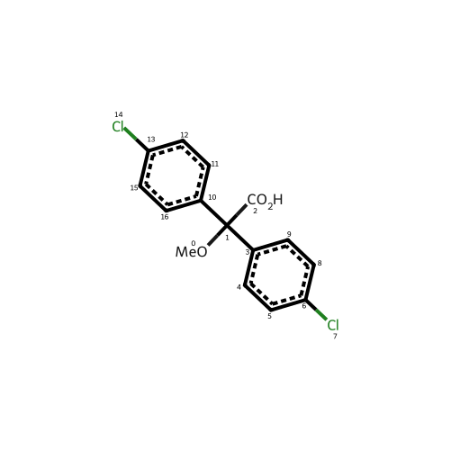 COC(C(=O)O)(c1ccc(Cl)cc1)c1ccc(Cl)cc1